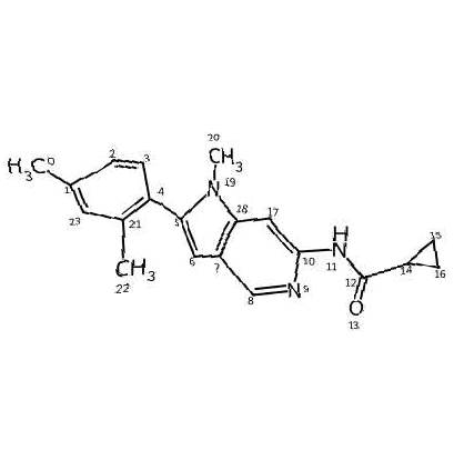 Cc1ccc(-c2cc3cnc(NC(=O)C4CC4)cc3n2C)c(C)c1